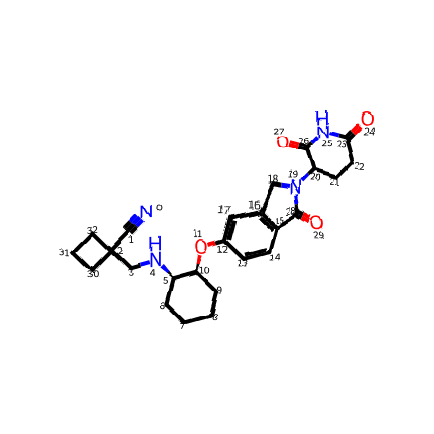 N#CC1(CN[C@@H]2CCCC[C@@H]2Oc2ccc3c(c2)CN(C2CCC(=O)NC2=O)C3=O)CCC1